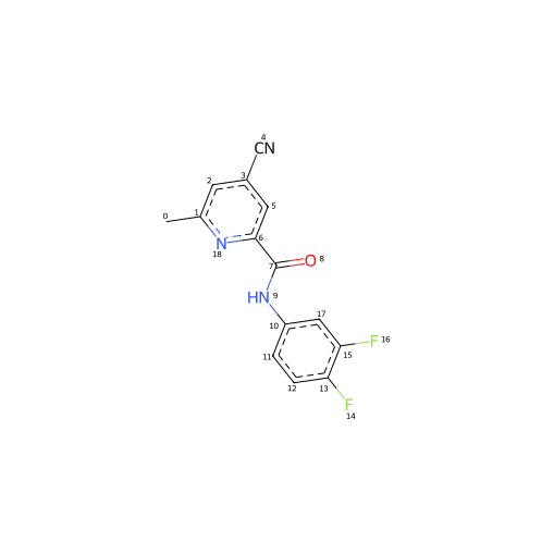 Cc1cc(C#N)cc(C(=O)Nc2ccc(F)c(F)c2)n1